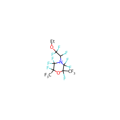 CCOC(F)(F)C(F)N1C(F)(F)C(F)(C(F)(F)F)OC(F)(C(F)(F)F)C1(F)F